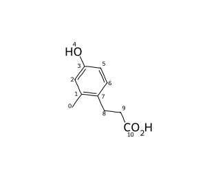 Cc1cc(O)ccc1CCC(=O)O